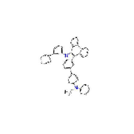 CN(c1ccccc1)c1ccc(-c2ccc3c(c2)c2c4ccccc4c4ccccc4c2n3-c2cccc(-c3ccccc3)c2)cc1